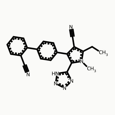 CCc1c(C#N)c(-c2ccc(-c3ccccc3C#N)cc2)c(-c2nnn[nH]2)n1C